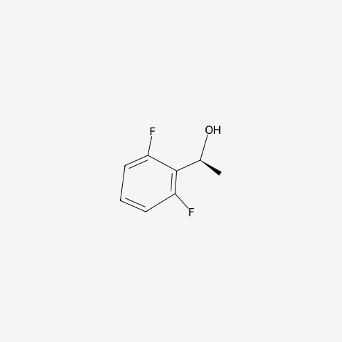 C[C@H](O)c1c(F)cccc1F